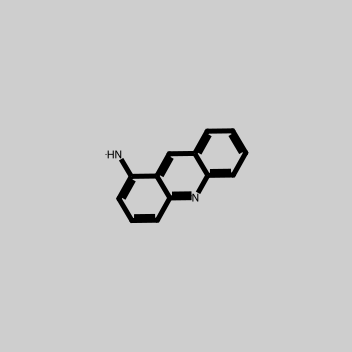 [NH]c1cccc2nc3ccccc3cc12